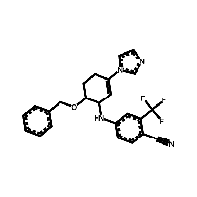 N#Cc1ccc(NC2C=C(n3ccnc3)CCC2OCc2ccccc2)cc1C(F)(F)F